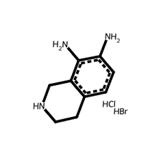 Br.Cl.Nc1ccc2c(c1N)CNCC2